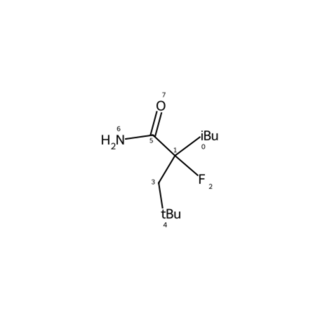 CCC(C)C(F)(CC(C)(C)C)C(N)=O